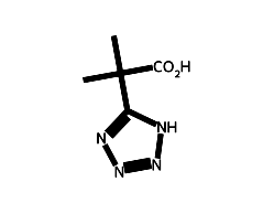 CC(C)(C(=O)O)c1nnn[nH]1